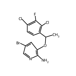 CC(Oc1cc(Br)cnc1N)c1ccc(Cl)c(F)c1Cl